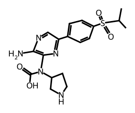 CC(C)S(=O)(=O)c1ccc(-c2cnc(N)c(N(C(=O)O)C3CCNC3)n2)cc1